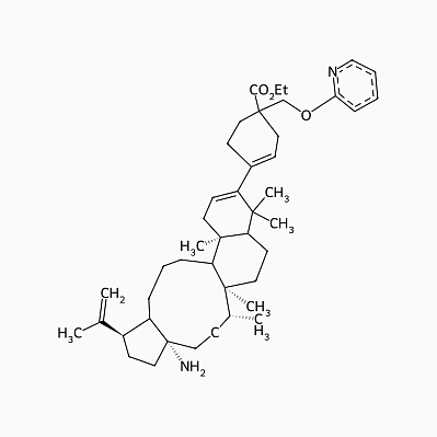 C=C(C)[C@@H]1CC[C@]2(N)CC[C@@H](C)[C@]3(C)CCC4C(C)(C)C(C5=CCC(COc6ccccn6)(C(=O)OCC)CC5)=CC[C@]4(C)C3CCCC12